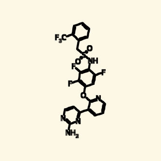 Nc1nccc(-c2cccnc2Oc2cc(F)c(NS(=O)(=O)Cc3ccccc3C(F)(F)F)c(F)c2F)n1